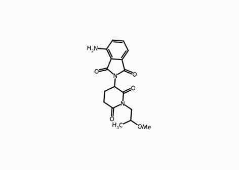 COC(C)CN1C(=O)CCC(N2C(=O)c3cccc(N)c3C2=O)C1=O